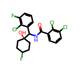 O=C(NC(c1cccc(F)c1Cl)[C@]1(O)CC[C@@H](F)CC1)c1cccc(Cl)c1Cl